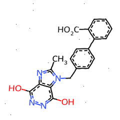 Cc1nc2c(O)nnc(O)c2n1Cc1ccc(-c2ccccc2C(=O)O)cc1